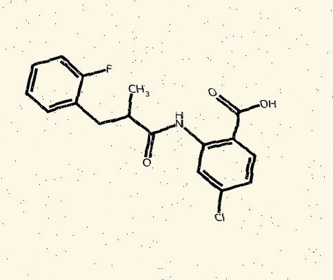 CC(Cc1ccccc1F)C(=O)Nc1cc(Cl)ccc1C(=O)O